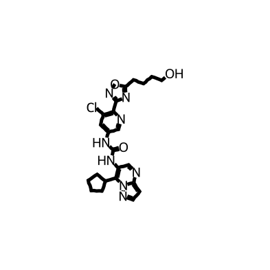 O=C(Nc1cnc(-c2noc(CCCCO)n2)c(Cl)c1)Nc1cnc2ccnn2c1C1CCCC1